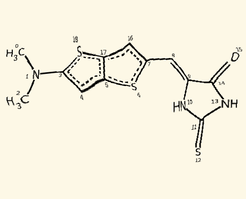 CN(C)c1cc2sc(/C=C3\NC(=S)NC3=O)cc2s1